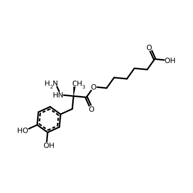 C[C@@](Cc1ccc(O)c(O)c1)(NN)C(=O)OCCCCCC(=O)O